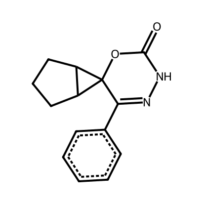 O=C1NN=C(c2ccccc2)C2(O1)C1CCCC12